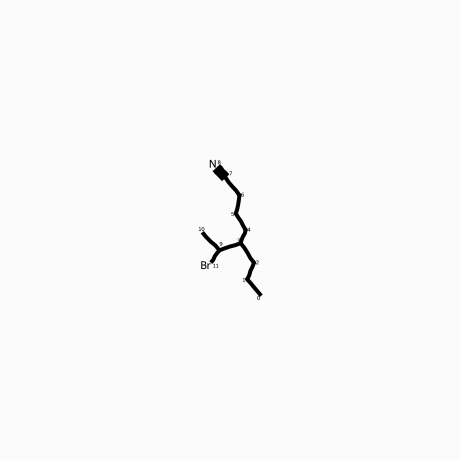 CCCC(CCCC#N)C(C)Br